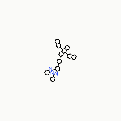 C1=Cc2nc3c4cc(-c5ccc(-c6ccc7c(-c8ccc9ccccc9c8)c8ccccc8c(-c8ccc9ccccc9c8)c7c6)cc5)ccc4nc(-c4ccccc4)n3c2CC1